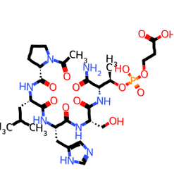 CC(=O)N1CCC[C@H]1C(=O)N[C@@H](CC(C)C)C(=O)N[C@@H](Cc1cnc[nH]1)C(=O)N[C@@H](CO)C(=O)N[C@H](C(N)=O)[C@@H](C)OP(=O)(O)OCCC(=O)O